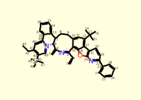 C=C/C1=N/C(=C)C2C(CCc3cc(C(C)(C)C)c4c(oc5nc(-c6ccccc6)ccc54)c31)c1ccccc1-c1cc(CC)c([Si](C)(C)C)c[n+]12